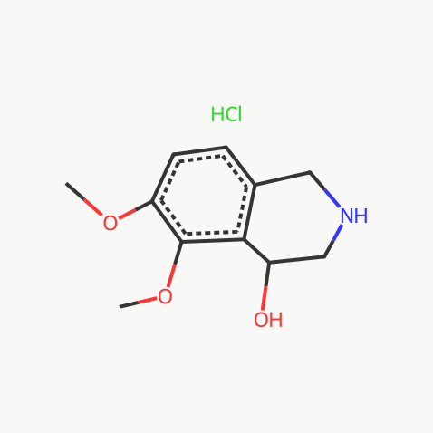 COc1ccc2c(c1OC)C(O)CNC2.Cl